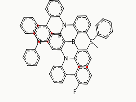 CS1(c2ccccc2)c2cccc3c2B2c4c(cc(N(c5ccccc5)c5ccccc5)cc4N(c4ccccc4-c4ccccc4F)c4cccc1c42)N3c1ccccc1-c1ccccc1F